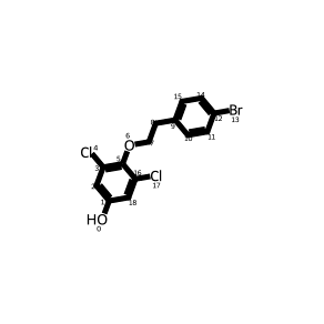 Oc1cc(Cl)c(OCCc2ccc(Br)cc2)c(Cl)c1